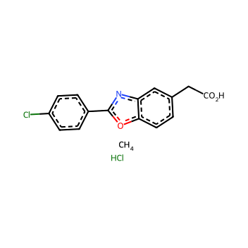 C.Cl.O=C(O)Cc1ccc2oc(-c3ccc(Cl)cc3)nc2c1